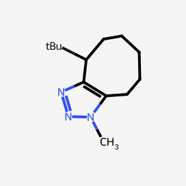 Cn1nnc2c1CCCCCC2C(C)(C)C